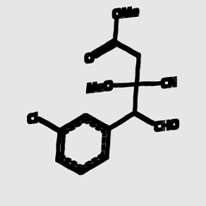 COC(=O)CC(C#N)(OC)C(C=O)c1cccc(Cl)c1